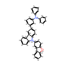 c1ccc(N(c2ccccc2)c2cccc(-c3ccc4c(c3)c3ccccc3n4-c3ccc4oc5ccccc5c4c3)c2)cc1